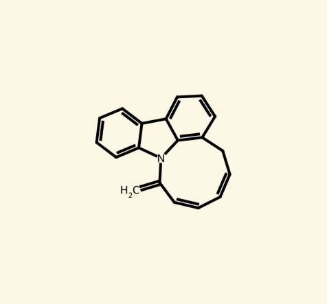 C=C1/C=C\C=C/Cc2cccc3c4ccccc4n1c23